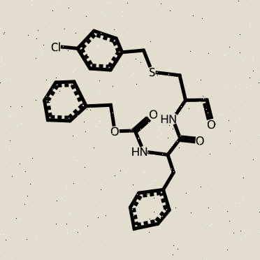 O=CC(CSCc1ccc(Cl)cc1)NC(=O)C(Cc1ccccc1)NC(=O)OCc1ccccc1